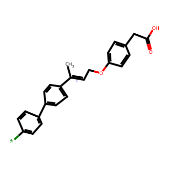 C/C(=C\COc1ccc(CC(=O)O)cc1)c1ccc(-c2ccc(Br)cc2)cc1